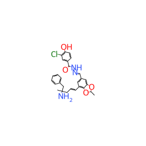 CC1Oc2cc(/C=N/NC(=O)c3ccc(O)c(Cl)c3)cc(/C=C/CC(C)(N)Cc3ccccc3)c2O1